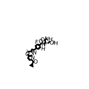 C[C@@H](Oc1ccc(C(=O)C2CC2)nc1)c1cc(-c2ccc(C(=O)N[C@@H](CCO)C(N)=O)c(F)c2)ns1